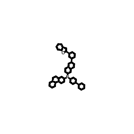 c1ccc(-c2ccc(N(c3ccc4cc(-c5cccc(-c6cc7ccccc7o6)c5)ccc4c3)c3ccc4c(ccc5ccccc54)c3)cc2)cc1